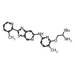 Cc1ccc(Nc2cc3nc(-c4ncccc4C)sc3cn2)nc1OCC(N)C(C)(C)C